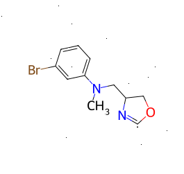 CN(CC1CO[C]=N1)c1cccc(Br)c1